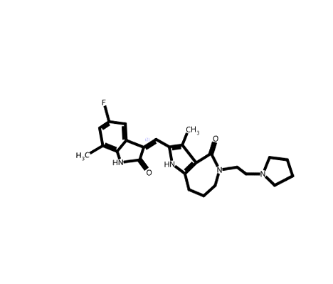 Cc1cc(F)cc2c1NC(=O)/C2=C\c1[nH]c2c(c1C)C(=O)N(CCN1CCCC1)CCC2